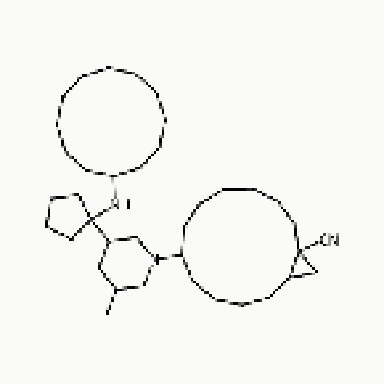 CC1CC(C2(NC3CCCCCCCCCCC3)CCCC2)CN(C2CCCCCCC3(C#N)CC3CCCC2)C1